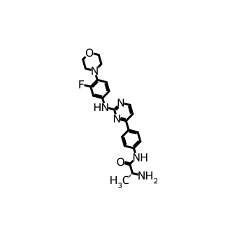 C[C@@H](N)C(=O)Nc1ccc(-c2ccnc(Nc3ccc(N4CCOCC4)c(F)c3)n2)cc1